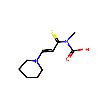 CN(C(=O)O)C(=S)C=CN1CCCCC1